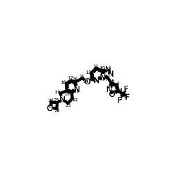 FC(F)(F)c1cc(-c2nnc3ccc(OCc4ccc5c(n4)CCN(C4COC4)C5)nn23)no1